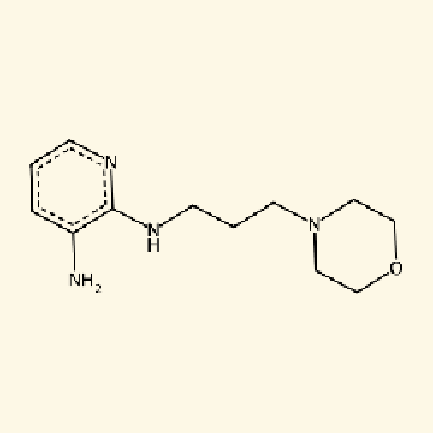 Nc1cccnc1NCCCN1CCOCC1